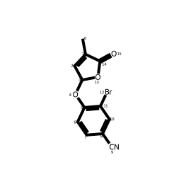 CC1=CC(Oc2ccc(C#N)cc2Br)OC1=O